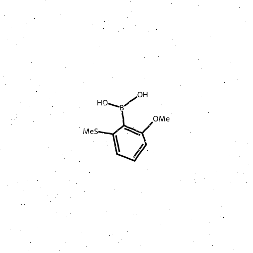 COc1cccc(SC)c1B(O)O